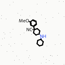 COc1cccc([C@]2(C#N)CC[C@H](NC3CCCCC3)CC2)c1